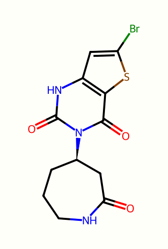 O=C1C[C@H](n2c(=O)[nH]c3cc(Br)sc3c2=O)CCCN1